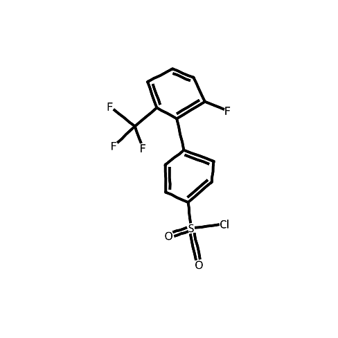 O=S(=O)(Cl)c1ccc(-c2c(F)cccc2C(F)(F)F)cc1